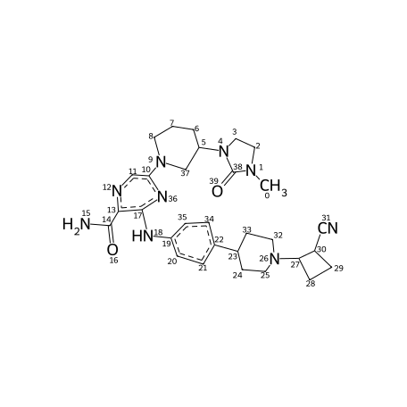 CN1CCN(C2CCCN(c3cnc(C(N)=O)c(Nc4ccc(C5CCN(C6CCC6C#N)CC5)cc4)n3)C2)C1=O